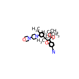 CCc1ccc(C(C)(C)c2oc3cc(C#N)ccc3c2C(=O)OC(C)(C)C)cc1N1CCC(N2CCOCC2)CC1